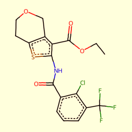 CCOC(=O)c1c(NC(=O)c2cccc(C(F)(F)F)c2Cl)sc2c1COCC2